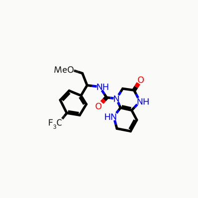 COCC(NC(=O)N1CC(=O)NC2=C1NCC=C2)c1ccc(C(F)(F)F)cc1